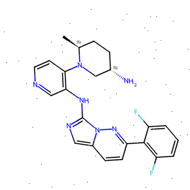 C[C@H]1CC[C@H](N)CN1c1ccncc1Nc1ncc2ccc(-c3c(F)cccc3F)nn12